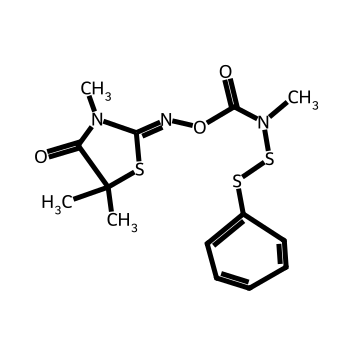 CN(SSc1ccccc1)C(=O)ON=C1SC(C)(C)C(=O)N1C